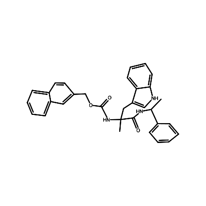 CC(NC(=O)C(C)(Cc1c[nH]c2ccccc12)NC(=O)OCc1ccc2ccccc2c1)c1ccccc1